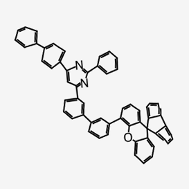 c1ccc(-c2ccc(-c3cc(-c4cccc(-c5cccc(-c6cccc7c6Oc6ccccc6C76c7ccccc7-c7ccccc76)c5)c4)nc(-c4ccccc4)n3)cc2)cc1